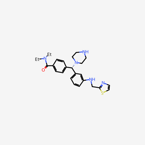 CCN(CC)C(=O)c1ccc([C@@H](c2cccc(NCc3nccs3)c2)N2CCNCC2)cc1